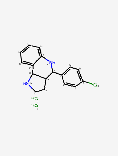 Cl.Cl.Clc1ccc(C2Nc3ccccc3C3NCCC23)cc1